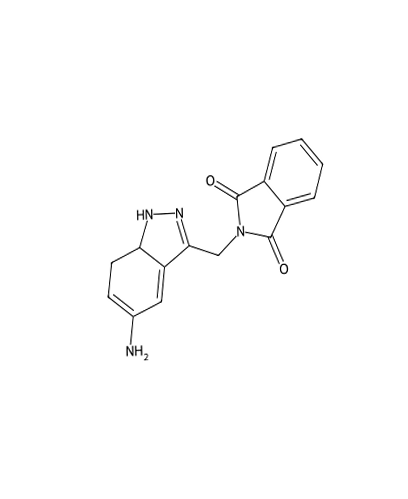 NC1=CCC2NN=C(CN3C(=O)c4ccccc4C3=O)C2=C1